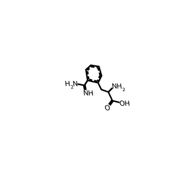 N=C(N)c1ccccc1CC(N)C(=O)O